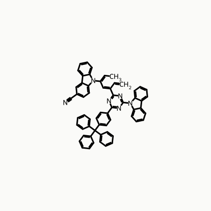 C=C/C(=C\C(=C/C)n1c2ccccc2c2cc(C#N)ccc21)c1nc(-c2ccc(C(c3ccccc3)(c3ccccc3)c3ccccc3)cc2)nc(-n2c3ccccc3c3ccccc32)n1